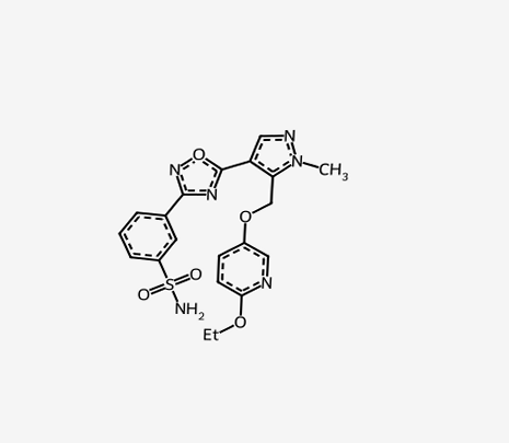 CCOc1ccc(OCc2c(-c3nc(-c4cccc(S(N)(=O)=O)c4)no3)cnn2C)cn1